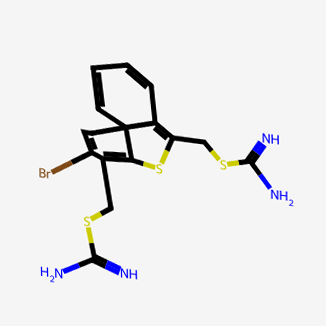 N=C(N)SCC1=C2C=CC=CC23CC=C(Br)C(CSC(=N)N)=C3S1